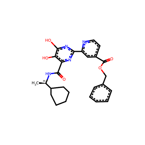 C[C@@H](NC(=O)c1nc(-c2cc(C(=O)OCc3ccccc3)ccn2)nc(O)c1O)C1CCCCC1